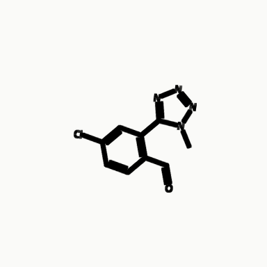 Cn1nnnc1-c1cc(Cl)ccc1C=O